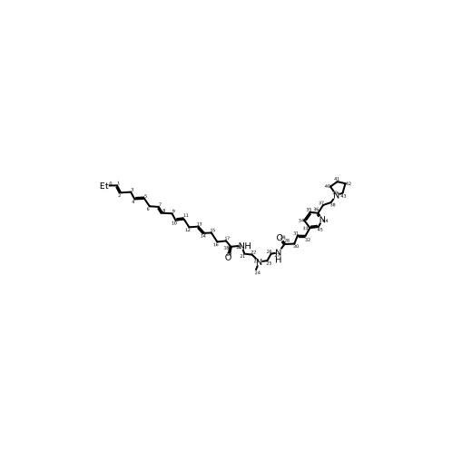 CCC=CCC=CCC=CCC=CCC=CCCCC(=O)NCCN(C)CCNC(=O)CC=Cc1ccc(CCN2CCCC2)nc1